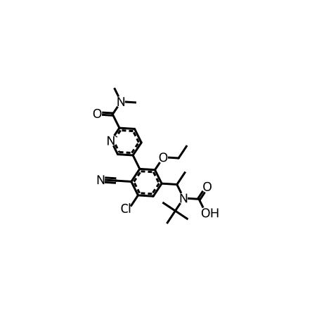 CCOc1c(C(C)N(C(=O)O)C(C)(C)C)cc(Cl)c(C#N)c1-c1ccc(C(=O)N(C)C)nc1